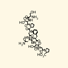 C[C@@H](O)[C@H](NC(=O)[C@H](Cc1ccccc1)NC(=O)[C@H](CC(N)=O)NC(=O)CNC(=O)[C@@H]1CCCN1C(=O)[C@@H](NC(=O)[C@@H](N)CO)[C@@H](C)O)C(=O)NCC(=O)N1CCC[C@H]1C(=O)O